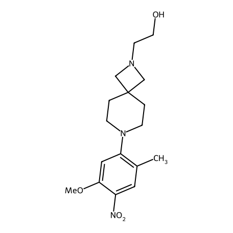 COc1cc(N2CCC3(CC2)CN(CCO)C3)c(C)cc1[N+](=O)[O-]